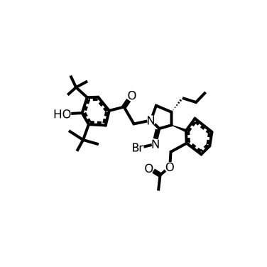 CCC[C@H]1CN(CC(=O)c2cc(C(C)(C)C)c(O)c(C(C)(C)C)c2)/C(=N\Br)[C@@H]1c1ccccc1COC(C)=O